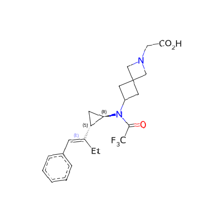 CC/C(=C\c1ccccc1)[C@@H]1C[C@H]1N(C(=O)C(F)(F)F)C1CC2(C1)CN(CC(=O)O)C2